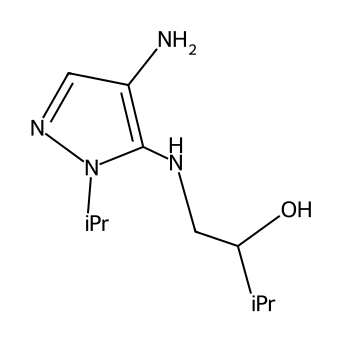 CC(C)C(O)CNc1c(N)cnn1C(C)C